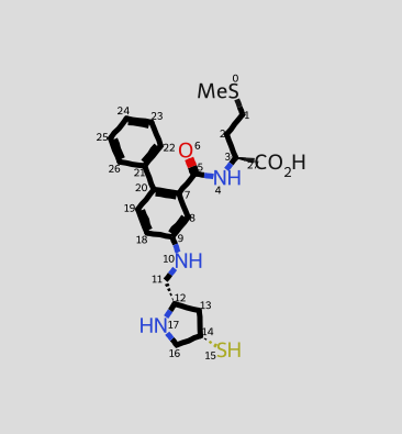 CSCC[C@H](NC(=O)c1cc(NC[C@@H]2C[C@H](S)CN2)ccc1-c1ccccc1)C(=O)O